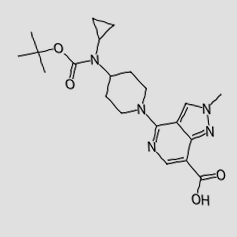 Cn1cc2c(N3CCC(N(C(=O)OC(C)(C)C)C4CC4)CC3)ncc(C(=O)O)c2n1